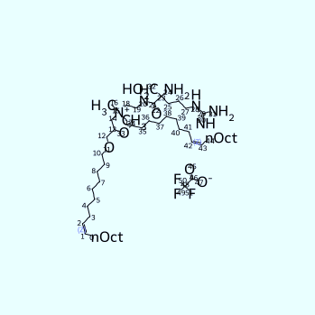 CCCCCCCC/C=C\CCCCCCCCOCC(C[N+](C)(C)CCNC(=O)C(N)(CCCNC(=N)N)C(=O)O)OCCCCCCCC/C=C\CCCCCCCC.O=C([O-])C(F)(F)F